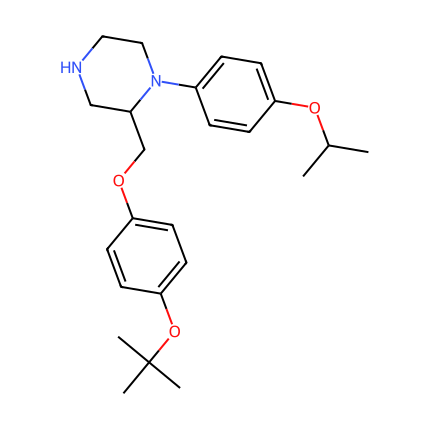 CC(C)Oc1ccc(N2CCNCC2COc2ccc(OC(C)(C)C)cc2)cc1